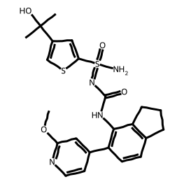 COc1cc(-c2ccc3c(c2NC(=O)N=S(N)(=O)c2cc(C(C)(C)O)cs2)CCC3)ccn1